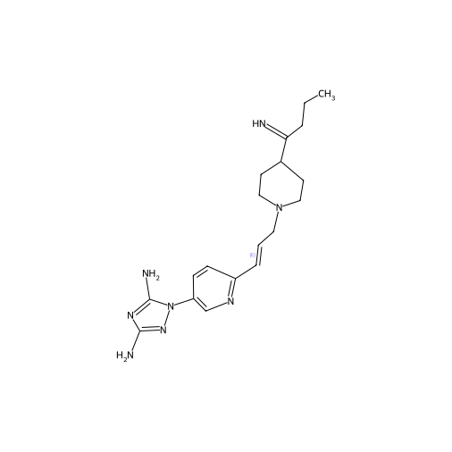 CCCC(=N)C1CCN(C/C=C/c2ccc(-n3nc(N)nc3N)cn2)CC1